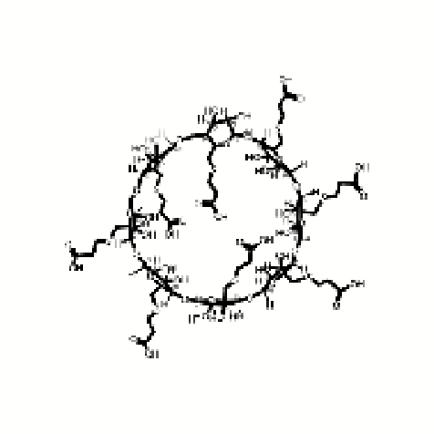 O=C(O)CCSCC1O[C@@H]2O[C@@H]3C(CSCCC(=O)O)O[C@H](O[C@@H]4C(CSCCC(=O)O)O[C@H](O[C@@H]5C(CSCCC(=O)O)O[C@H](O[C@@H]6C(CSCCC(=O)O)O[C@H](O[C@@H]7C(CSCCC(=O)O)O[C@H](O[C@@H]8C(CSCCC(=O)O)O[C@H](O[C@@H]9C(CSCCC(=O)O)OC(O[C@H]1[C@@H](O)[C@@H]2O)[C@@H](O)[C@@H]9O)[C@@H](O)[C@@H]8O)[C@@H](O)[C@@H]7O)[C@@H](O)[C@@H]6O)[C@@H](O)[C@@H]5O)[C@@H](O)[C@@H]4O)[C@@H](O)[C@@H]3O